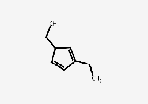 CCC1=CC(CC)[C]=C1